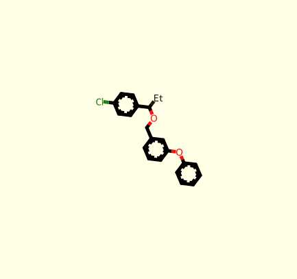 CCC(OCc1cccc(Oc2ccccc2)c1)c1ccc(Cl)cc1